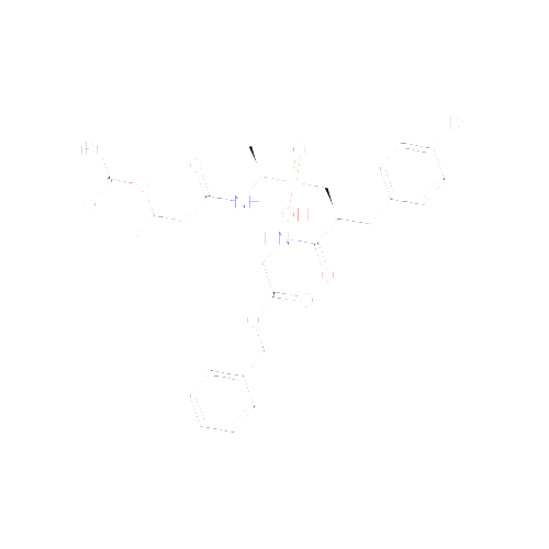 CC(OC(=O)N[C@@H](C)P(=O)(O)C[C@@H](Cc1ccc(Br)cc1)C(=O)N[C@@H](C)C(=O)OCc1ccccc1)OC(=O)C(C)C